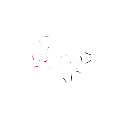 Cc1ccc(N(C(=O)c2ccco2)C2CCN(CCC3(CCC(C(=O)O)(C(=O)O)C(=O)O)CCCCC3)CC2)cc1